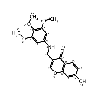 COc1cc(NCc2coc3cc(O)ccc3c2=O)cc(OC)c1OC